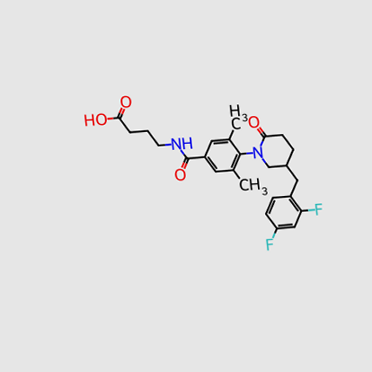 Cc1cc(C(=O)NCCCC(=O)O)cc(C)c1N1CC(Cc2ccc(F)cc2F)CCC1=O